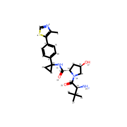 Cc1ncsc1-c1ccc(C2(NC(=O)[C@@H]3C[C@@H](O)CN3C(=O)[C@@H](N)C(C)(C)C)CC2)cc1